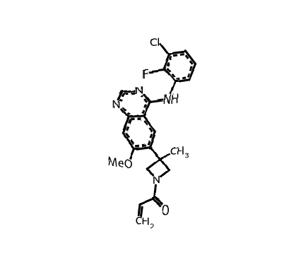 C=CC(=O)N1CC(C)(c2cc3c(Nc4cccc(Cl)c4F)ncnc3cc2OC)C1